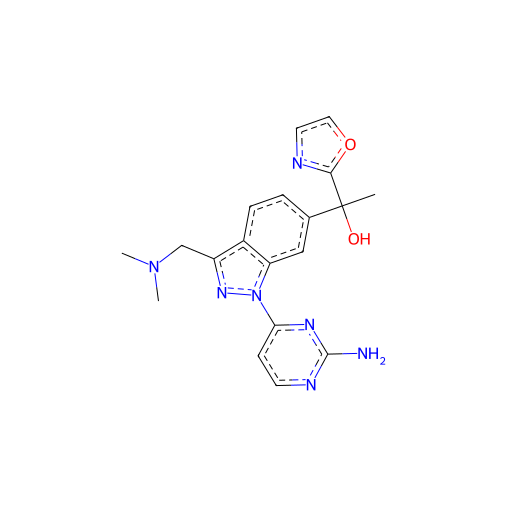 CN(C)Cc1nn(-c2ccnc(N)n2)c2cc(C(C)(O)c3ncco3)ccc12